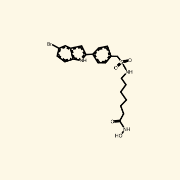 O=C(CCCCCCNS(=O)(=O)Cc1ccc(-c2cc3cc(Br)ccc3[nH]2)cc1)NO